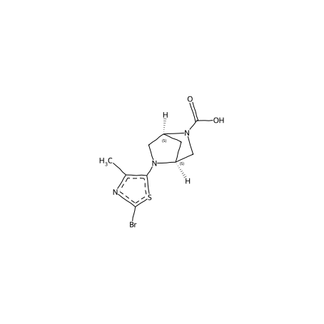 Cc1nc(Br)sc1N1C[C@@H]2C[C@H]1CN2C(=O)O